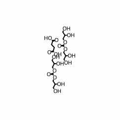 O=C(O)CCC(=O)O.O=C(OCC(O)CO)OCC(O)CO.O=C(OCC(O)CO)OCC(O)CO